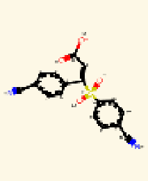 N#Cc1ccc(/C(=C\C(=O)O)S(=O)(=O)c2ccc(C#N)cc2)cc1